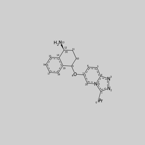 CC(C)c1nnc2ccc(OC3CC[C@H](N)c4ccccc43)cn12